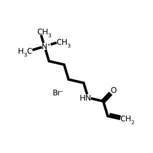 C=CC(=O)NCCCC[N+](C)(C)C.[Br-]